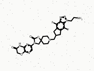 NCCn1nnc2c(F)c3c(c(F)c21)CC(CN1CCC2(CC1)CN(c1cnc4c(n1)NC(=O)CO4)C(=O)O2)C3